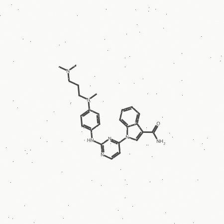 CN(C)CCCN(C)c1ccc(Nc2nccc(-n3cc(C(N)=O)c4ccccc43)n2)cc1